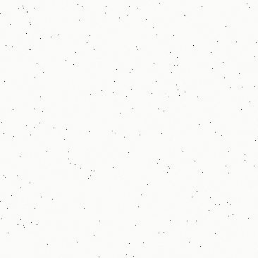 Cl.Cl.N[C@@H](CO)Cc1cccnc1